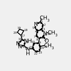 Cc1cc2c(cn1)cc(-c1cc(Nc3nnc(C4CCC4)[nH]3)ccc1C)c(=O)n2C